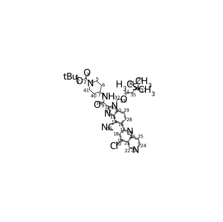 CC(C)(C)OC(=O)N1CCC(NC(=O)c2nc3c(C#N)c(-c4cc(Cl)c5cnccc5n4)ccc3n2COCC[Si](C)(C)C)CC1